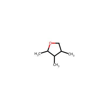 CC1[CH]OC(C)C1C